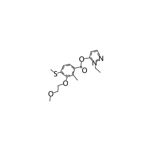 CCn1nccc1OC(=O)c1ccc(SC)c(OCCOC)c1C